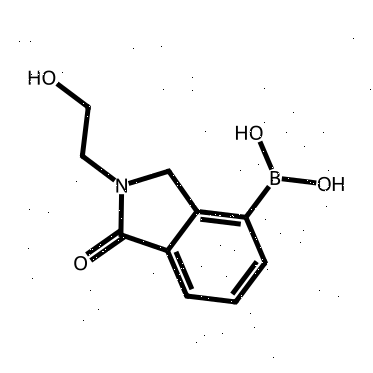 O=C1c2cccc(B(O)O)c2CN1CCO